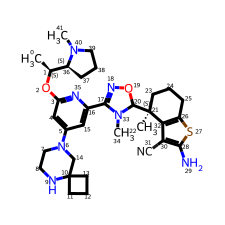 C[C@H](Oc1cc(N2CCNC3(CCC3)C2)cc(C2=NOC([C@@]3(C)CCCc4sc(N)c(C#N)c43)N2C)n1)[C@@H]1CCCN1C